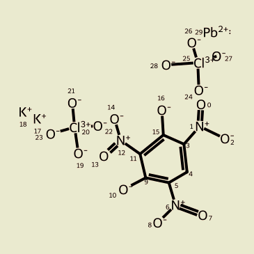 O=[N+]([O-])c1cc([N+](=O)[O-])c([O-])c([N+](=O)[O-])c1[O-].[K+].[K+].[O-][Cl+3]([O-])([O-])[O-].[O-][Cl+3]([O-])([O-])[O-].[Pb+2]